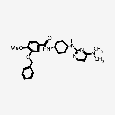 COc1ccc(C(=O)N[C@H]2CC[C@@H](Nc3nccc(N(C)C)n3)CC2)cc1OCc1ccccc1